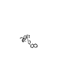 C=CC(=O)OC(CC)(CC)CCOCc1ccc2ccccc2c1